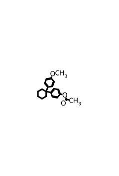 COc1ccc(C2(c3ccc(OC(C)=O)cc3)CCCCC2)cc1